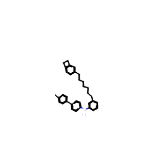 Cc1ccc(-c2ccc(Nc3cccc(CCCCCCCc4ccc5c(c4)CC5)c3)cc2)cc1